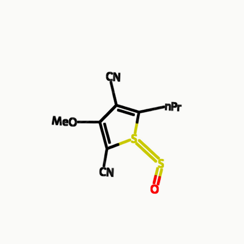 CCCC1=C(C#N)C(OC)=C(C#N)S1=S=O